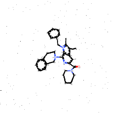 Cc1c(C)n(Cc2ccccc2)c2c(N3CCc4ccccc4C3)nc(C(=O)N3CCCCC3)cc12